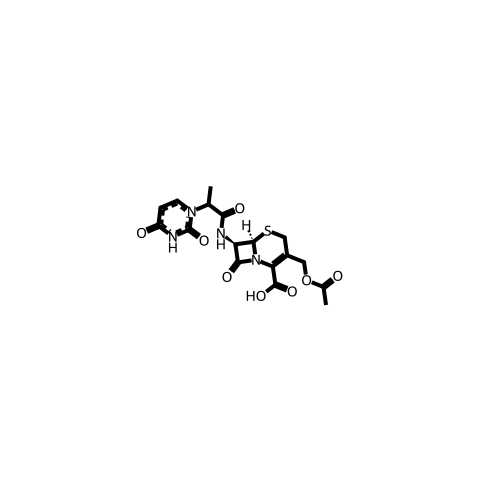 CC(=O)OCC1=C(C(=O)O)N2C(=O)[C@@H](NC(=O)C(C)n3ccc(=O)[nH]c3=O)[C@H]2SC1